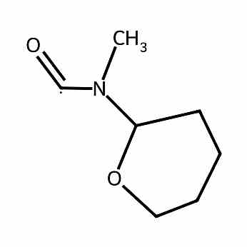 CN([C]=O)C1CCCCO1